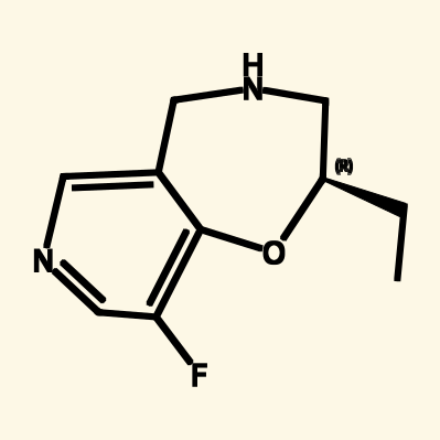 CC[C@@H]1CNCc2cncc(F)c2O1